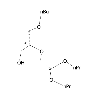 CCCCOC[C@@H](CO)OCP(OCCC)OCCC